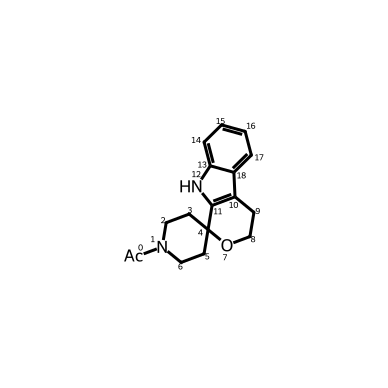 CC(=O)N1CCC2(CC1)OCCc1c2[nH]c2ccccc12